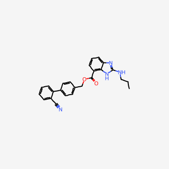 CCCNc1nc2cccc(C(=O)OCc3ccc(-c4ccccc4C#N)cc3)c2[nH]1